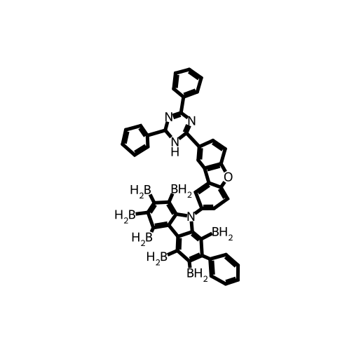 Bc1c(B)c(B)c2c(c1B)c1c(B)c(B)c(-c3ccccc3)c(B)c1n2-c1ccc2oc3ccc(C4=NC(c5ccccc5)=NC(c5ccccc5)N4)cc3c2c1